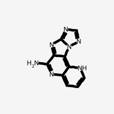 Nc1nc2ccc[nH]c2c2c1nc1ncnn12